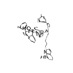 Cc1ccc(OCCN(CCCCc2ccc3c(n2)NCCC3)CC[C@H](Nc2nc(-c3cccnc3)nc3ccccc23)C(=O)O)cn1